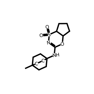 CC12CCC(NC3=NS(=O)(=O)C4CCCC4O3)(CC1)CC2